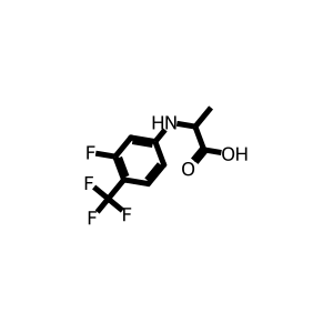 CC(Nc1ccc(C(F)(F)F)c(F)c1)C(=O)O